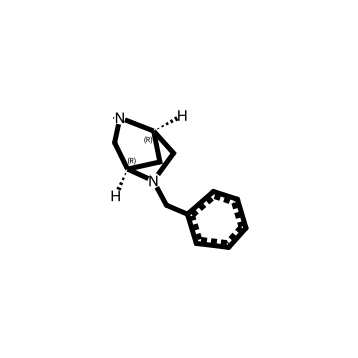 c1ccc(CN2C[C@H]3C[C@@H]2C[N]3)cc1